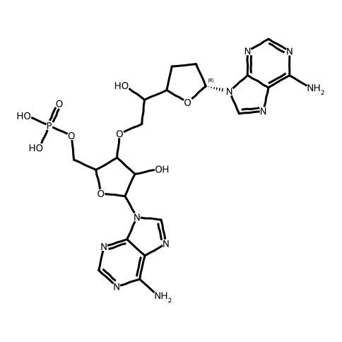 Nc1ncnc2c1ncn2C1OC(COP(=O)(O)O)C(OCC(O)C2CC[C@H](n3cnc4c(N)ncnc43)O2)C1O